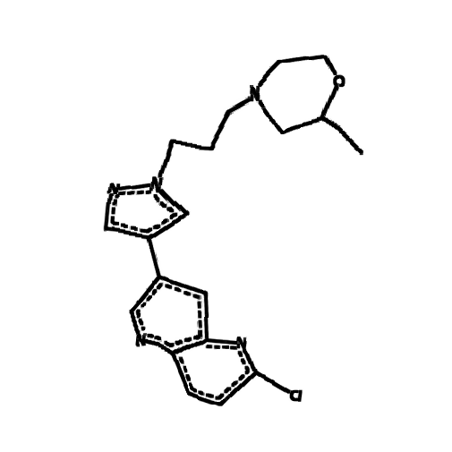 CC1CN(CCCn2cc(-c3cnc4ccc(Cl)nc4c3)cn2)CCO1